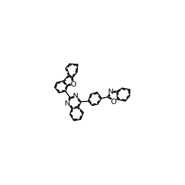 c1ccc2oc(-c3ccc(-c4nc(-c5cccc6c5oc5ccccc56)nc5ccccc45)cc3)nc2c1